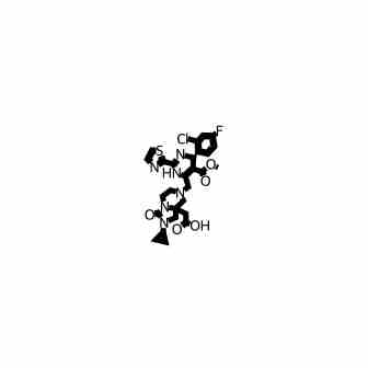 COC(=O)C1=C(CN2CCN3C(=O)N(C4CC4)CC3(CC(=O)O)C2)NC(c2nccs2)=N[C@H]1c1ccc(F)cc1Cl